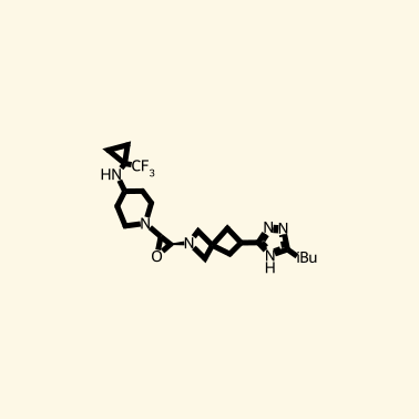 CCC(C)c1nnc(C2CC3(C2)CN([C@H]2OC2N2CCC(NC4(C(F)(F)F)CC4)CC2)C3)[nH]1